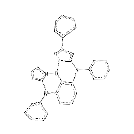 c1ccc(-c2cc3c(o2)B2c4c(cccc4N(c4ccccc4)c4cccn42)N3c2ccccc2)cc1